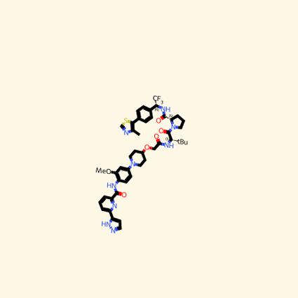 COc1cc(N2CCC(OCC(=O)N[C@H](C(=O)N3CCC[C@H]3C(=O)N[C@H](c3ccc(-c4scnc4C)cc3)C(F)(F)F)C(C)(C)C)CC2)ccc1NC(=O)c1cccc(-c2ccn[nH]2)n1